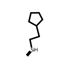 C=[SiH]CCC1CCCC1